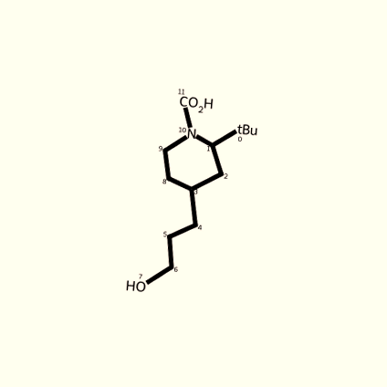 CC(C)(C)C1CC(CCCO)CCN1C(=O)O